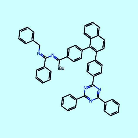 CCC(C)/C(=N\C(=N/Cc1ccccc1)c1ccccc1)c1ccc(-c2c(-c3ccc(-c4nc(-c5ccccc5)nc(-c5ccccc5)n4)cc3)ccc3ccccc23)cc1